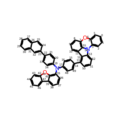 c1ccc2c(c1)Oc1cccc3c4c(-c5ccc(N(c6ccc(-c7ccc8ccccc8c7)cc6)c6cccc7c6oc6ccccc67)cc5)cccc4n-2c13